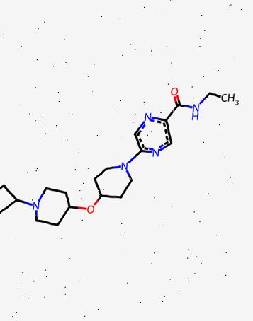 CCNC(=O)c1cnc(N2CCC(OC3CCN(C4CCC4)CC3)CC2)cn1